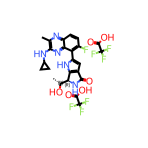 Cc1nc2ccc(F)c(-c3cc4c([nH]3)[C@H]([C@@H](C)O)NC4=O)c2nc1NC1CC1.O=C(O)C(F)(F)F.O=C(O)C(F)(F)F